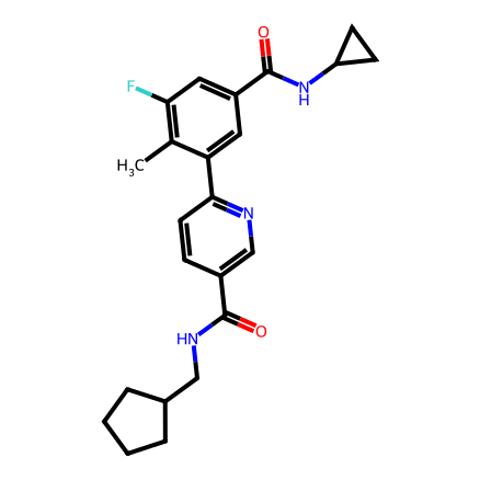 Cc1c(F)cc(C(=O)NC2CC2)cc1-c1ccc(C(=O)NCC2CCCC2)cn1